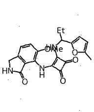 CCC(Nc1c(Nc2c(OC)ccc3c2C(=O)NC3)c(=O)c1=O)c1ccc(C)o1